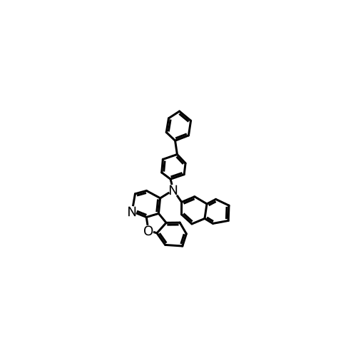 c1ccc(-c2ccc(N(c3ccc4ccccc4c3)c3ccnc4oc5ccccc5c34)cc2)cc1